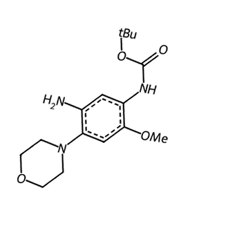 COc1cc(N2CCOCC2)c(N)cc1NC(=O)OC(C)(C)C